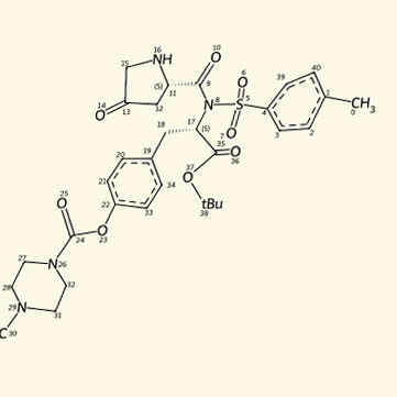 Cc1ccc(S(=O)(=O)N(C(=O)[C@@H]2CC(=O)CN2)[C@@H](Cc2ccc(OC(=O)N3CCN(C)CC3)cc2)C(=O)OC(C)(C)C)cc1